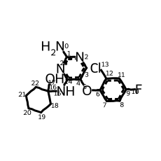 Nc1ncc(Oc2ccc(F)cc2Cl)c(NC2(O)CCCCC2)n1